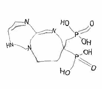 O=P(O)(O)C1(P(=O)(O)O)CCN2NC=NC2=N1